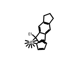 CC[C]1([Hf]([CH3])([CH3])([CH3])([CH3])([CH3])([CH3])([CH3])[CH]2C=CC=C2)C=Cc2cc3c(cc21)CCC3